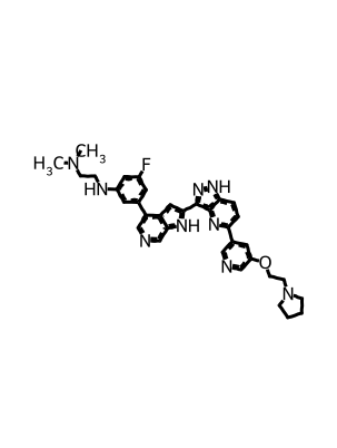 CN(C)CCNc1cc(F)cc(-c2cncc3[nH]c(-c4n[nH]c5ccc(-c6cncc(OCCN7CCCC7)c6)nc45)cc23)c1